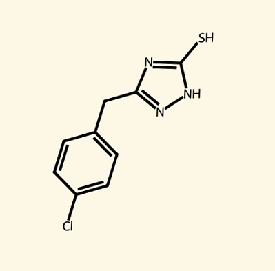 Sc1nc(Cc2ccc(Cl)cc2)n[nH]1